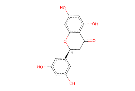 O=C1C[C@@H](c2cc(O)cc(O)c2)Oc2cc(O)cc(O)c21